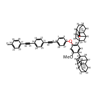 COc1cc(Oc2ccc(C#Cc3ccc(C#Cc4ccc(C)cc4)cc3)cc2)c(C23CC4C5CC6CC4C(C2)C(C6)C5C3)cc1C12CC3C4CC5CC3C(C1)C(C5)C4C2